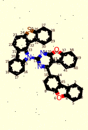 c1ccc2c(c1)oc1ccc(-c3nc(-n4c5ccccc5c5ccc6sc7ccccc7c6c54)nc4oc5ccccc5c34)cc12